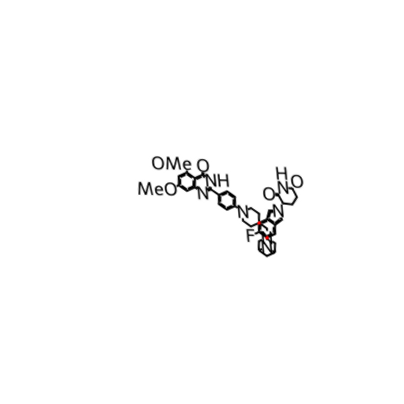 COc1cc(OC)c2c(=O)[nH]c(-c3ccc(N4CCC(CN5CC6CC(C5)N6c5cc6cn(C7CCC(=O)NC7=O)cc6cc5F)CC4)cc3)nc2c1